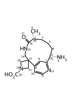 C[C@@H]1CCC[C@H](N)c2cc(ccn2)C2(CNC1=O)CN(C(=O)O)C2